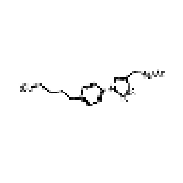 CNCc1cn(-c2ccc(CCCCC(C)(C)C)cc2)nn1